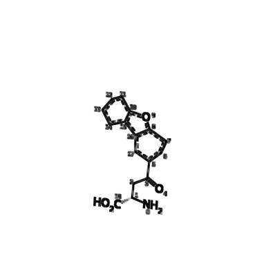 N[C@@H](CC(=O)c1ccc2oc3ccccc3c2c1)C(=O)O